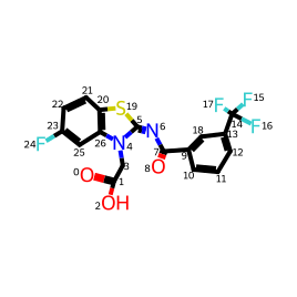 O=C(O)Cn1c(=NC(=O)c2cccc(C(F)(F)F)c2)sc2ccc(F)cc21